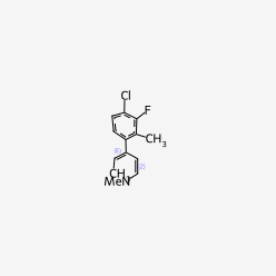 C/C=C(\C=C/NC)c1ccc(Cl)c(F)c1C